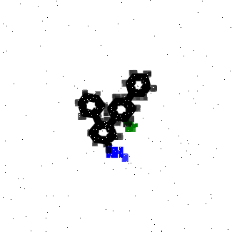 Nc1ccc(-c2ccccc2)c(-c2ccc(-c3ccccc3)cc2Br)c1